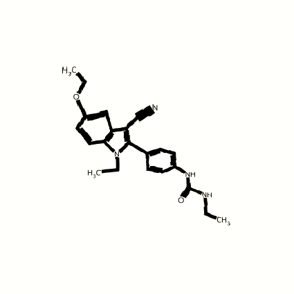 CCNC(=O)Nc1ccc(-c2c(C#N)c3cc(OCC)ccc3n2CC)cc1